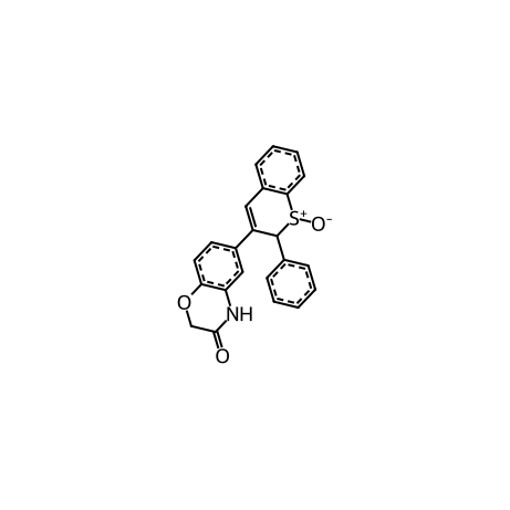 O=C1COc2ccc(C3=Cc4ccccc4[S+]([O-])C3c3ccccc3)cc2N1